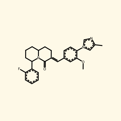 COc1cc(/C=C2\CCC3CCCC(c4ccccc4F)N3C2=O)ccc1-n1cnc(C)c1